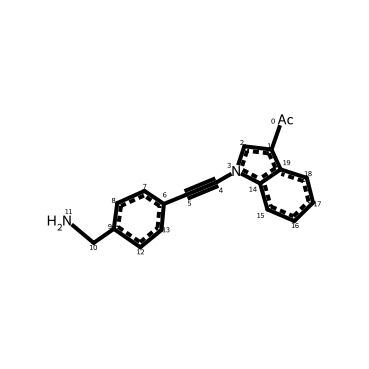 CC(=O)c1cn(C#Cc2ccc(CN)cc2)c2ccccc12